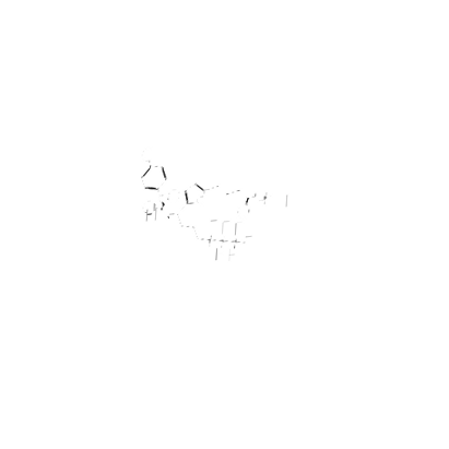 COC(=O)CCCc1ccc(C(CCCC(F)(F)C(F)(F)C(F)(F)F)NS(=O)(=O)c2ccc(Cl)cc2)s1